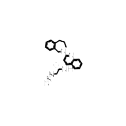 [N-]=[N+]=NCC(=O)Nc1cc(N2CCCc3ccccc3C2)nc2ccccc12